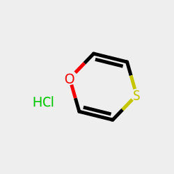 C1=CSC=CO1.Cl